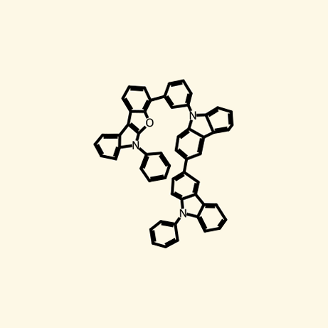 c1ccc(-n2c3ccccc3c3cc(-c4ccc5c(c4)c4ccccc4n5-c4cccc(-c5cccc6c5oc5c6c6ccccc6n5-c5ccccc5)c4)ccc32)cc1